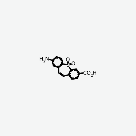 Nc1ccc2c(c1)C=Cc1ccc(C(=O)O)cc1S2(=O)=O